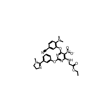 CCOC(=O)CNc1nc(Oc2cccc(C3=NCCN3C)c2)nc(Oc2cc(C#N)ccc2N(C)C)c1[N+](=O)[O-]